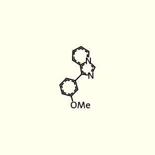 COc1cccc(-c2ncn3ccccc23)c1